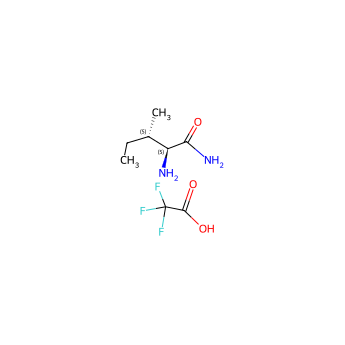 CC[C@H](C)[C@H](N)C(N)=O.O=C(O)C(F)(F)F